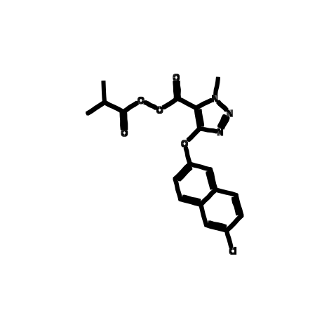 CC(C)C(=O)OOC(=O)c1c(Oc2ccc3cc(Cl)ccc3c2)nnn1C